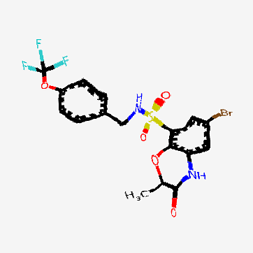 CC1Oc2c(cc(Br)cc2S(=O)(=O)NCc2ccc(OC(F)(F)F)cc2)NC1=O